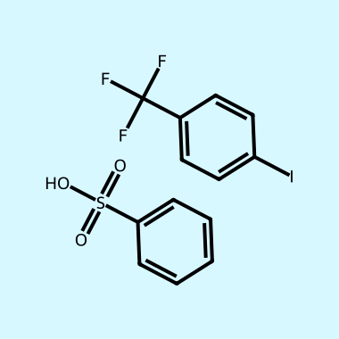 FC(F)(F)c1ccc(I)cc1.O=S(=O)(O)c1ccccc1